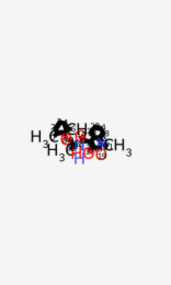 Cc1cccc(C)c1OCC(C)NC(=O)c1c(O)c(=O)n(C)c2ccccc12